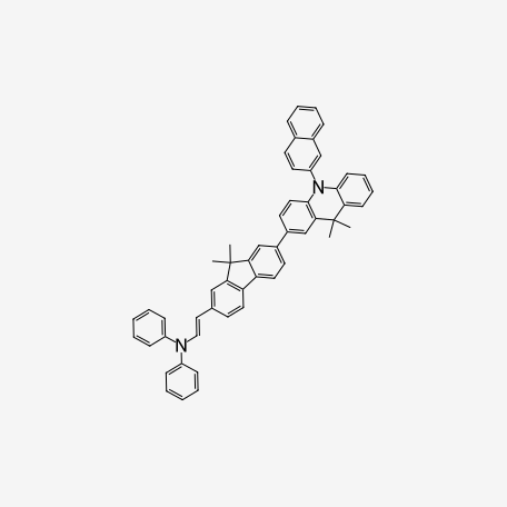 CC1(C)c2cc(/C=C/N(c3ccccc3)c3ccccc3)ccc2-c2ccc(-c3ccc4c(c3)C(C)(C)c3ccccc3N4c3ccc4ccccc4c3)cc21